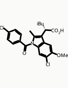 CCC(C)[C@H](C(=O)O)c1c(C)n(C(=O)c2ccc(Cl)cc2)c2cc(Cl)c(OC)cc12